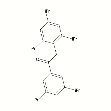 CC(C)c1[c]c(C(C)C)cc(C(=O)Cc2c(C(C)C)cc(C(C)C)cc2C(C)C)c1